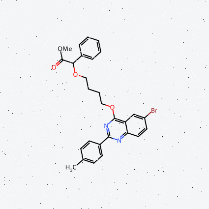 COC(=O)C(OCCCCOc1nc(-c2ccc(C)cc2)nc2ccc(Br)cc12)c1ccccc1